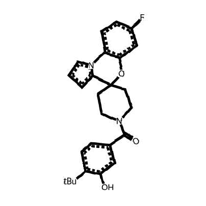 CC(C)(C)c1ccc(C(=O)N2CCC3(CC2)Oc2cc(F)ccc2-n2cccc23)cc1O